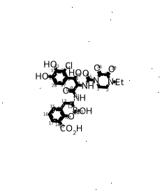 CCN1CCN(C(=O)NC(C(=O)N[C@H]2Cc3cccc(C(=O)O)c3OB2O)C(O)c2ccc(O)c(O)c2Cl)C(=O)C1=O